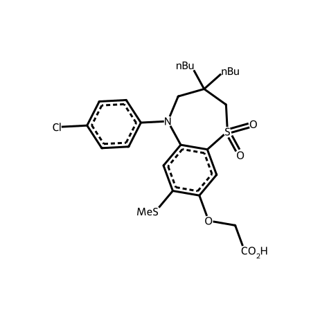 CCCCC1(CCCC)CN(c2ccc(Cl)cc2)c2cc(SC)c(OCC(=O)O)cc2S(=O)(=O)C1